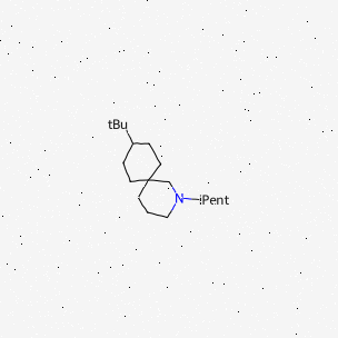 CCCC(C)N1CCCC2(CCC(C(C)(C)C)CC2)C1